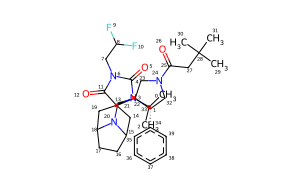 CC(C)N1C(=O)N(CC(F)F)C(=O)C12CC1CCC(C2)N1C[C@H]1CN(C(=O)CC(C)(C)C)C[C@@H]1c1ccccc1